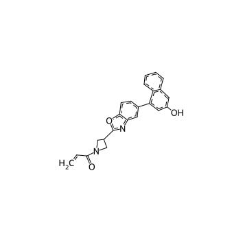 C=CC(=O)N1CC(c2nc3cc(-c4cc(O)cc5ccccc45)ccc3o2)C1